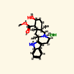 COC(=O)[C@@H]1[C@H]2C[C@H]3c4[nH]c5ccccc5c4CCN3C[C@@H]2CC[C@@H]1O.Cl